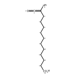 CCCC(=C=O)CCCCCCCCCCC(=O)O